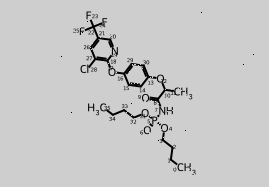 CCCCOP(=O)(NC(=O)C(C)Oc1ccc(Oc2ncc(C(F)(F)F)cc2Cl)cc1)OCCCC